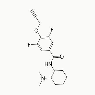 C#CCOc1c(F)cc(C(=O)NC2CCCCC2N(C)C)cc1F